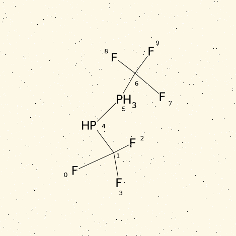 FC(F)(F)P[PH3]C(F)(F)F